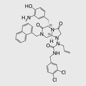 C=CCN(C(=O)NCc1ccc(Cl)c(Cl)c1)N1CC(=O)N2[C@@H](Cc3ccc(O)c(N)c3)C(=O)N(Cc3cccc4ccccc34)C[C@@H]21